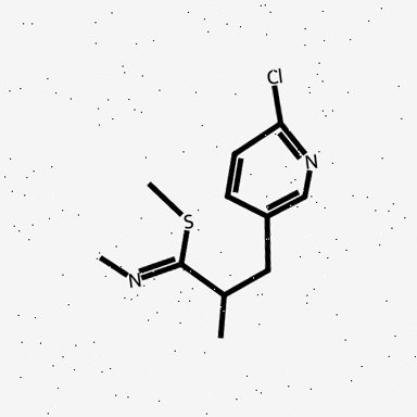 CN=C(SC)C(C)Cc1ccc(Cl)nc1